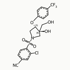 N#Cc1ccc(S(=O)(=O)N2C[C@H](Oc3ccc(C(F)(F)F)cc3)[C@](O)(CO)C2)c(Cl)c1